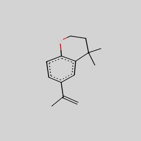 C=C(C)c1ccc2c(c1)C(C)(C)CCO2